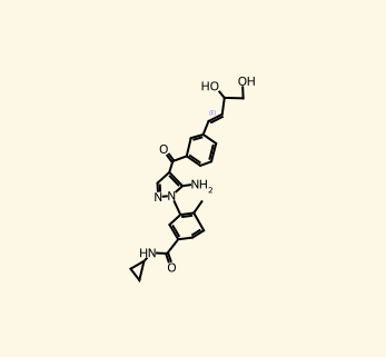 Cc1ccc(C(=O)NC2CC2)cc1-n1ncc(C(=O)c2cccc(/C=C/C(O)CO)c2)c1N